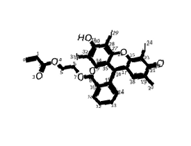 C=CC(=O)OCCOC(=O)c1ccccc1-c1c2cc(C)c(=O)c(I)c-2oc2c(I)c(O)c(I)cc12